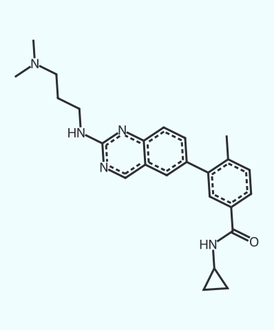 Cc1ccc(C(=O)NC2CC2)cc1-c1ccc2nc(NCCCN(C)C)ncc2c1